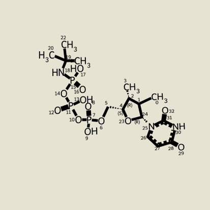 CC1[C@@H](C)[C@@H](COP(=O)(O)OP(=O)(O)OP(=O)(O)NC(C)(C)C)O[C@H]1n1ccc(=O)[nH]c1=O